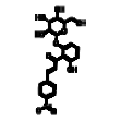 O=C(/C=C/c1ccc([N+](=O)[O-])cc1)c1c(O)cccc1O[C@H]1O[C@H](CO)[C@H](O)[C@@H](O)[C@@H]1O